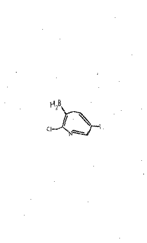 Bc1cc(I)cnc1Cl